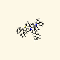 c1ccc2c(-c3ccc(N(c4ccc(-c5cc6ccccc6c6ccccc56)c5sc6ccccc6c45)c4cccc5c4c4ccccc4n5-c4cccc5ccccc45)cc3)cccc2c1